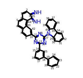 N=C1C=Cc2ccc3ccc(-c4nc(-c5cccc(-c6ccccc6)c5)nc(-n5c6ccccc6c6ccccc65)n4)cc3c2C1=N